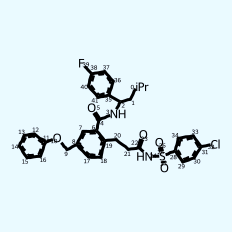 CC(C)CC(NC(=O)c1cc(COc2ccccc2)ccc1CCC(=O)NS(=O)(=O)c1ccc(Cl)cc1)c1ccc(F)cc1